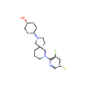 O[C@H]1CC[C@@H](N2CC[C@]3(CCCN(c4ncc(F)cc4F)C3)C2)CC1